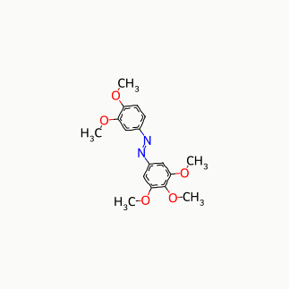 COc1ccc(N=Nc2cc(OC)c(OC)c(OC)c2)cc1OC